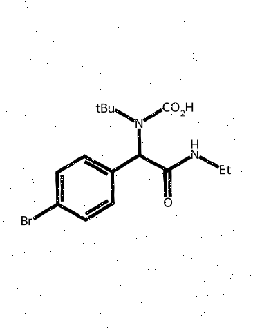 CCNC(=O)C(c1ccc(Br)cc1)N(C(=O)O)C(C)(C)C